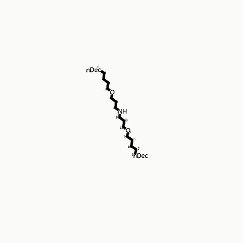 CCCCCCCCCCCCCCOCCCNCCCOCCCCCCCCCCCCCC